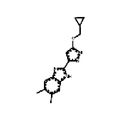 Cc1cc2nc(-c3cc(SCC4CC4)[nH]n3)[nH]c2cc1C